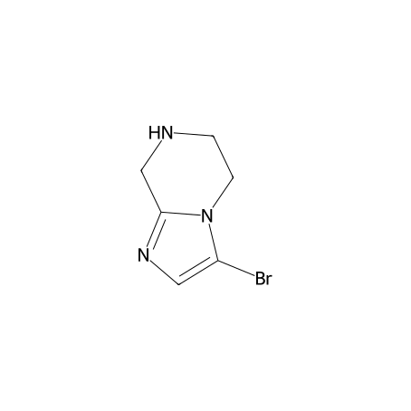 Brc1cnc2n1CCNC2